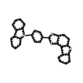 c1ccc2c(c1)sc1ccc3sc(-c4ccc(-n5c6ccccc6c6ccccc65)cc4)nc3c12